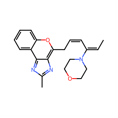 C/C=C(\C=C/Cc1oc2ccccc2c2nc(C)nc1-2)N1CCOCC1